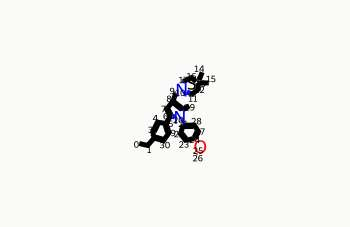 CCc1ccc(-c2cc(CN3CC[Si](C)(C)CC3)c(C)n2-c2ccc(OC)cc2)cc1